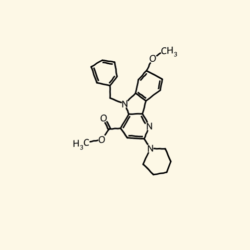 COC(=O)c1cc(N2CCCCC2)nc2c3ccc(OC)cc3n(Cc3ccccc3)c12